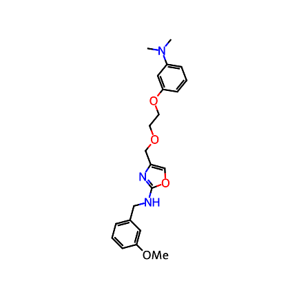 COc1cccc(CNc2nc(COCCOc3cccc(N(C)C)c3)co2)c1